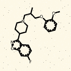 COc1ccc[c]c1OCC(C)CN1CCC(c2noc3cc(F)ccc23)CC1